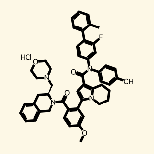 COc1ccc(C(=O)N2Cc3ccccc3C[C@H]2CN2CCOCC2)c(-c2cc(C(=O)N(c3ccc(O)cc3)c3ccc(-c4ccccc4C)c(F)c3)c3n2CCCC3)c1.Cl